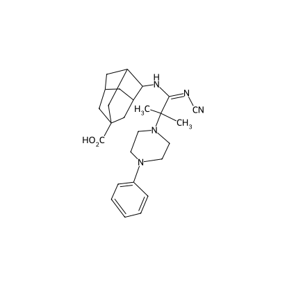 CC(C)(/C(=N\C#N)NC1C2CC3CC1CC(C(=O)O)(C3)C2)N1CCN(c2ccccc2)CC1